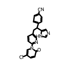 N#Cc1ccc(C(Cc2ccc(-n3cc(Cl)ccc3=O)nc2)c2cnc[nH]2)cc1